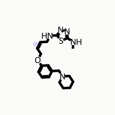 CNc1nnc(NC/C=C\COc2cccc(CN3CCCCC3)c2)s1